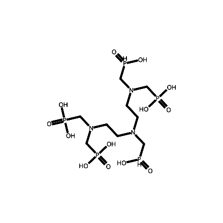 O=[PH](O)CN(CCN(C[PH](=O)O)CP(=O)(O)O)CCN(CP(=O)(O)O)CP(=O)(O)O